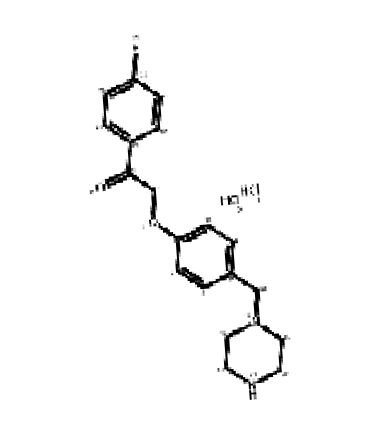 Cl.Cl.O=C(COc1ccc(CN2CCNCC2)cc1)c1ccc(F)cc1